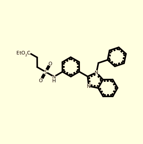 CCOC(=O)CCS(=O)(=O)Nc1cccc(-c2nc3ccccc3n2Cc2ccccc2)c1